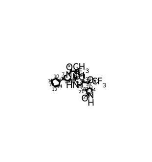 CC(C)(F)C(=O)N1C[C@H](c2ccccc2)C[C@H]1C(=O)N[C@@H](C[C@@H]1CCNC1=O)C(=O)COC(F)(F)F